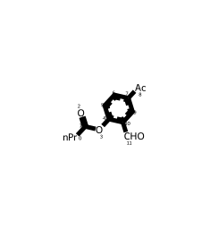 [CH2]CCC(=O)Oc1ccc(C(C)=O)cc1C=O